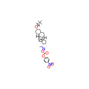 C/C(=N\OC(=O)Oc1ccc([N+](=O)[O-])cc1)[C@H]1CC[C@H]2[C@@H]3CCC4C[C@@H](O[Si](C)(C)C(C)(C)C)CC[C@]4(C)[C@H]3CC[C@]12C